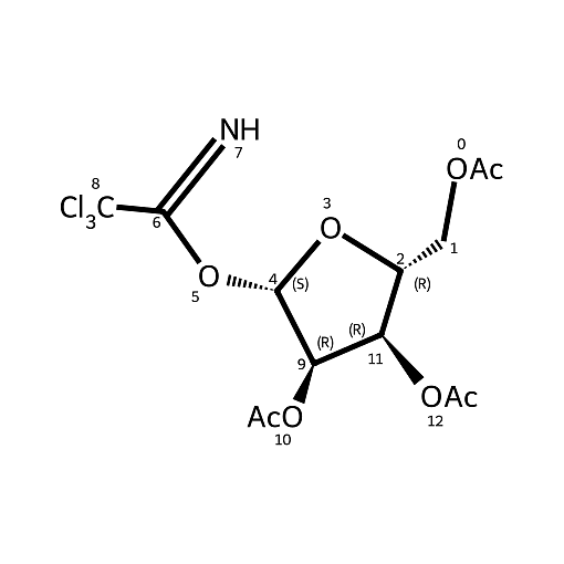 CC(=O)OC[C@H]1O[C@@H](OC(=N)C(Cl)(Cl)Cl)[C@H](OC(C)=O)[C@@H]1OC(C)=O